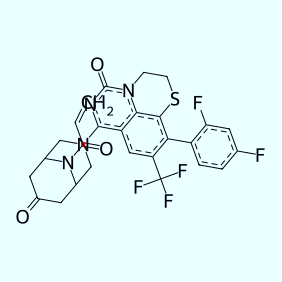 C=CC(=O)N1C2CC(=O)CC1CN(c1nc(=O)n3c4c(c(-c5ccc(F)cc5F)c(C(F)(F)F)cc14)SCC3)C2